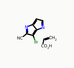 C=CC(=O)O.N#CC1=NC2=CC=NC2=C1Br